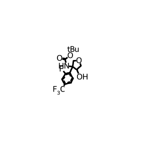 CC(C)(C)OC(=O)NC1(c2ccc(C(F)(F)F)cc2F)COCC1O